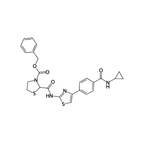 O=C(NC1CC1)c1ccc(-c2csc(NC(=O)C3SCCN3C(=O)OCc3ccccc3)n2)cc1